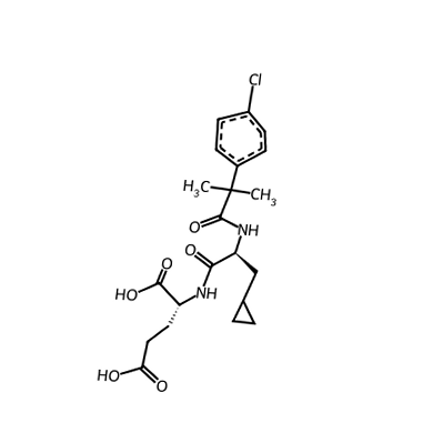 CC(C)(C(=O)N[C@@H](CC1CC1)C(=O)N[C@H](CCC(=O)O)C(=O)O)c1ccc(Cl)cc1